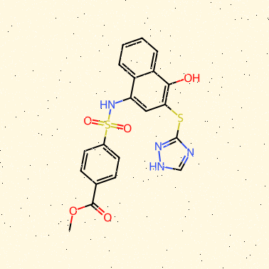 COC(=O)c1ccc(S(=O)(=O)Nc2cc(Sc3nc[nH]n3)c(O)c3ccccc23)cc1